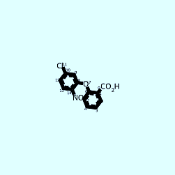 O=C(O)c1ccccc1Oc1cc(Cl)ccc1[N+](=O)[O-]